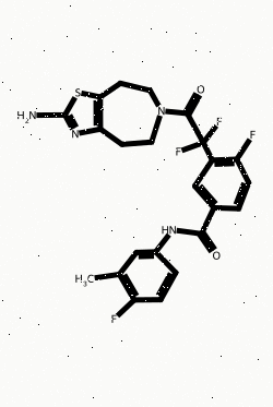 Cc1cc(NC(=O)c2ccc(F)c(C(F)(F)C(=O)N3CCc4nc(N)sc4CC3)c2)ccc1F